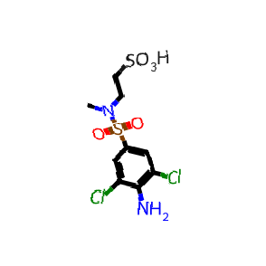 CN(CCS(=O)(=O)O)S(=O)(=O)c1cc(Cl)c(N)c(Cl)c1